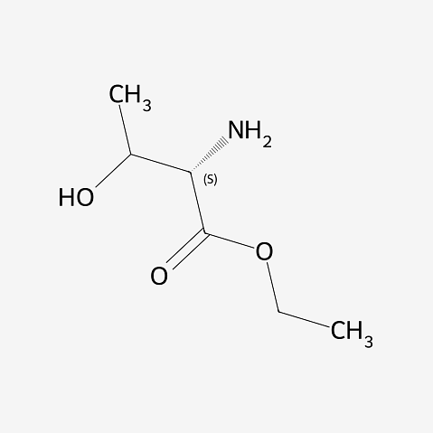 CCOC(=O)[C@@H](N)C(C)O